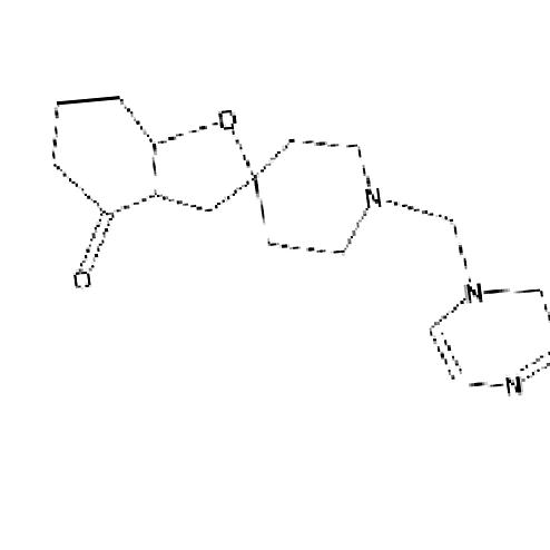 O=C1CCCC2OC3(CCN(CN4C=CN=CC4)CC3)CC12